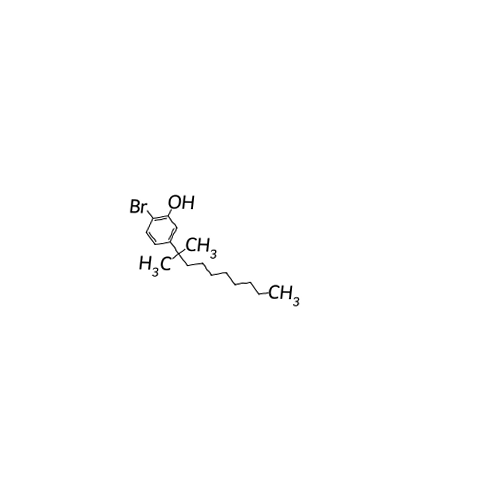 CCCCCCCCC(C)(C)c1ccc(Br)c(O)c1